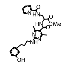 COC(=O)C(CNC(=O)c1ccccn1)NC(=O)c1c(C)nc(NCCCc2cccc(O)c2)nc1C